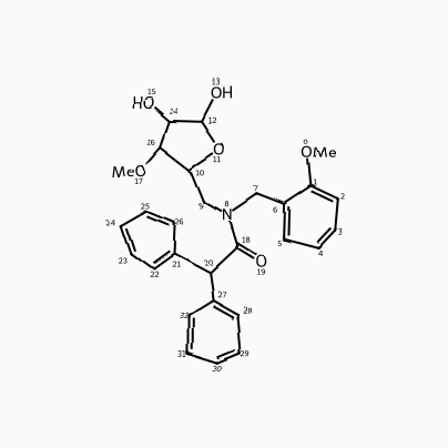 COc1ccccc1CN(CC1OC(O)C(O)C1OC)C(=O)C(c1ccccc1)c1ccccc1